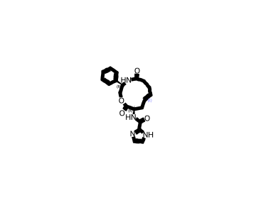 O=C1CC/C=C/C[C@@H](NC(=O)c2ncc[nH]2)C(=O)OC[C@@H](c2ccccc2)N1